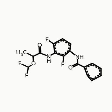 CC(OC(F)F)C(=O)Nc1c(F)ccc(NC(=O)c2ccccc2)c1F